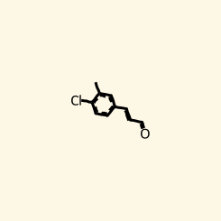 Cc1cc(/C=C/C=O)ccc1Cl